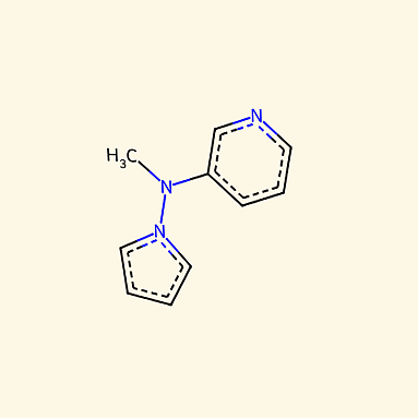 CN(c1cccnc1)n1cccc1